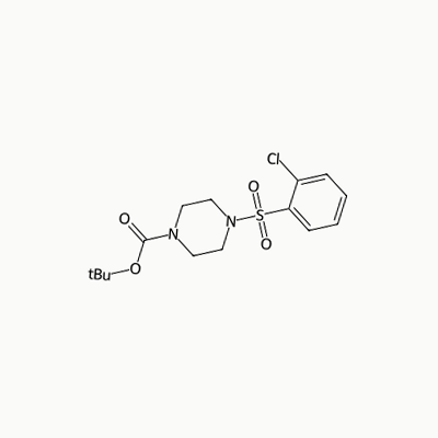 CC(C)(C)OC(=O)N1CCN(S(=O)(=O)c2ccccc2Cl)CC1